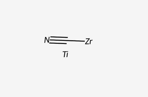 N#[C][Zr].[Ti]